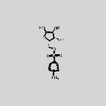 Cc1ccc(S(=O)(=O)OC[C@@H]2OC(O)[C@@H](O)[C@@H]2O)cc1